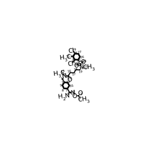 CC(=O)ON=C(N)c1ccc(CN(C)C(=O)CCCCN(C)S(=O)(=O)c2ccc(Cl)c(C)c2Cl)cc1